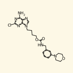 Nc1nc(Cl)nc2c1ncn2CCCCOC(=O)NCc1cccc(N2CCOCC2)c1